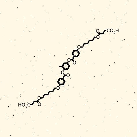 Cc1cc(OC(=O)c2ccc(OCCCCCCOC(=O)CCC(=O)O)cc2)ccc1OC(=O)c1ccc(OCCCCCCOC(=O)CCC(=O)O)cc1